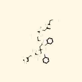 CCC(C)Cc1nc(CN(C)C(=O)N[C@H](C(=O)N[C@@H](Cc2ccccc2)CC(O)(O)[C@H](Cc2ccccc2)NC(=O)OCc2cnco2)C(C)C)cs1